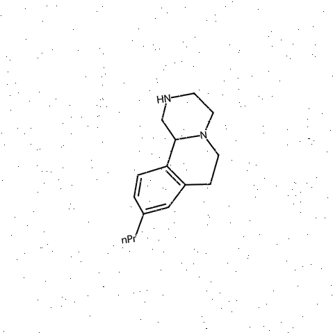 CCCc1ccc2c(c1)CCN1CCNCC21